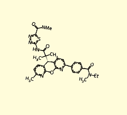 CCN(C)C(=O)c1ccc(-c2ccc3c(n2)Oc2nc(C)ccc2[C@@H]3C(C)(C)C(=O)Nc2nnc(C(=O)NC)s2)cc1